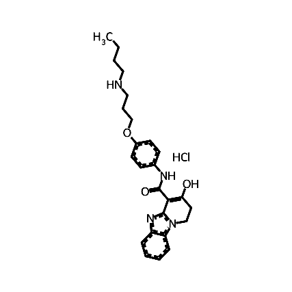 CCCCNCCCOc1ccc(NC(=O)C2=C(O)CCn3c2nc2ccccc23)cc1.Cl